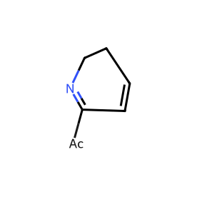 CC(=O)C1=NCCC=C1